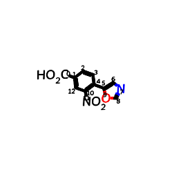 O=C(O)c1ccc(-c2cnco2)c([N+](=O)[O-])c1